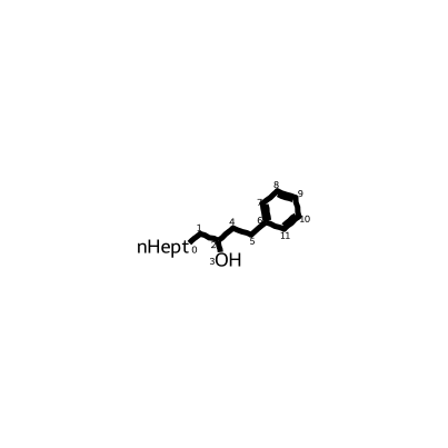 CCCCCCCCC(O)CCc1ccccc1